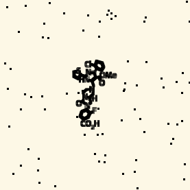 COC(=O)C1=C(CN2CCN3C(=O)N(c4ccc(C(=O)O)cc4F)C[C@@H]3C2)NC(c2cccs2)=N[C@H]1c1ccccc1Cl